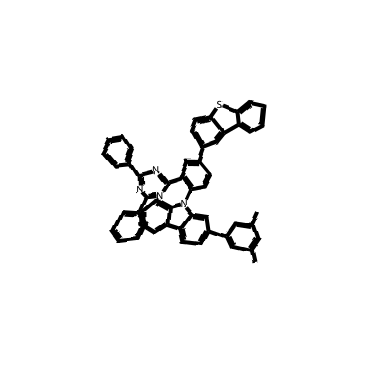 Cc1cc(C)cc(-c2ccc3c4ccccc4n(-c4ccc(-c5ccc6sc7ccccc7c6c5)cc4-c4nc(-c5ccccc5)nc(-c5ccccc5)n4)c3c2)c1